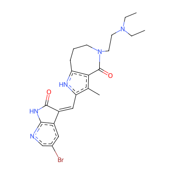 CCN(CC)CCN1CCCc2[nH]c(/C=C3\C(=O)Nc4ncc(Br)cc43)c(C)c2C1=O